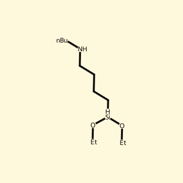 CCCCNCCCC[SiH](OCC)OCC